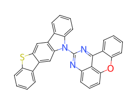 c1ccc2c(c1)Oc1cccc3nc(-n4c5ccccc5c5cc6sc7ccccc7c6cc54)nc-2c13